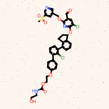 CS(=O)(=O)c1cncc(COc2nc(O[C@H]3CCc4c(-c5cccc(-c6ccc(OCCOC(=O)NCCO)cc6)c5Cl)cccc43)c(Cl)cc2C=O)c1